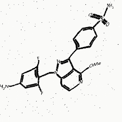 COc1nccc2c1c(-c1ccc(S(N)(=O)=O)cc1)nn2-c1c(F)cc(N)cc1F